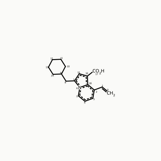 C=Cc1cccn2c(CC3CCCCC3)cc(C(=O)O)c12